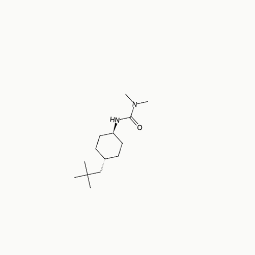 CN(C)C(=O)N[C@H]1CC[C@H](CC(C)(C)C)CC1